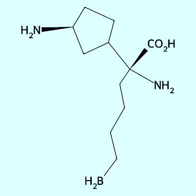 BCCCC[C@](N)(C(=O)O)C1CC[C@H](N)C1